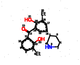 C1CCNCC1.CCc1cccc(C(=O)c2cccc(CC)c2O)c1O